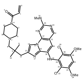 C=CC(=O)N1CCN(CC(C)(C)Cc2cn3c(n2)c(Nc2c(Cl)c(OC)cc(OC)c2Cl)cc2cnc(NC)nc23)CC1